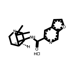 CC1(C)[C@@H](NC(=O)c2cc3ccoc3cn2)C2CCN1CC2.Cl